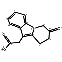 O=C(O)Cc1c2n(c3ccccc13)CC(=O)CC2